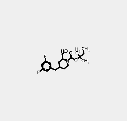 CCC(C)(C)OC(=O)N1CCC(Cc2cc(F)cc(F)c2)CC1CO